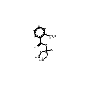 CCCCOC(C)(OCCCC)OC(=O)c1ccccc1C(=O)O